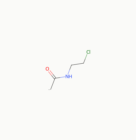 [CH2]C(=O)NCCCl